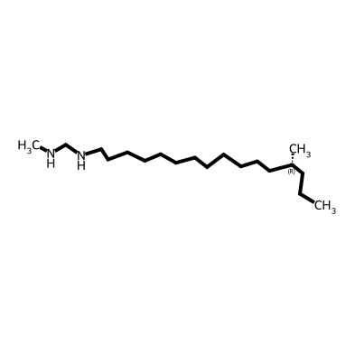 CCC[C@@H](C)CCCCCCCCCCCCNCNC